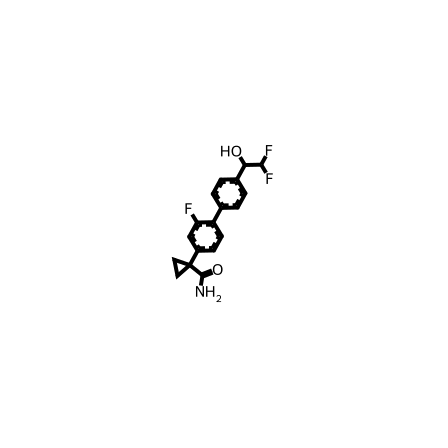 NC(=O)C1(c2ccc(-c3ccc(C(O)C(F)F)cc3)c(F)c2)CC1